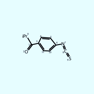 CC(C)C(=O)c1ccc(N=C=S)cc1